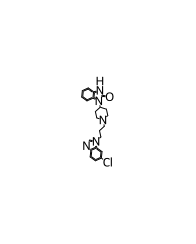 O=c1[nH]c2ccccc2n1C1CCN(CCCn2cnc3ccc(Cl)cc32)CC1